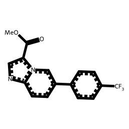 COC(=O)c1cnc2ccc(-c3ccc(C(F)(F)F)cc3)cn12